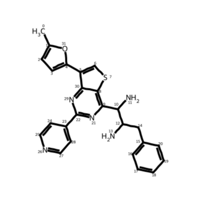 Cc1ccc(-c2csc3c(C(N)C(N)Cc4ccccc4)nc(-c4ccncc4)nc23)o1